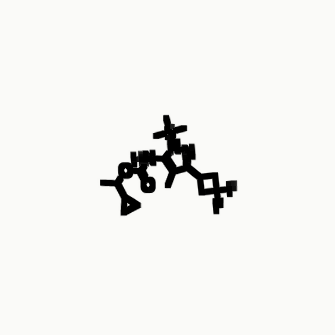 Cc1c(C2CC(F)(F)C2)nn(S(C)(C)C)c1NC(=O)OC(C)C1CC1